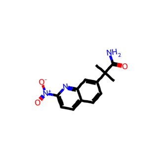 CC(C)(C(N)=O)c1ccc2ccc([N+](=O)[O-])nc2c1